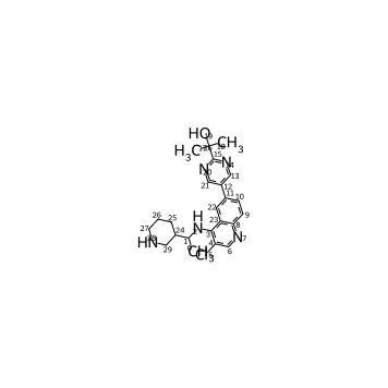 CC(Nc1c(Cl)cnc2ccc(-c3cnc(C(C)(C)O)nc3)cc12)C1CCCNC1